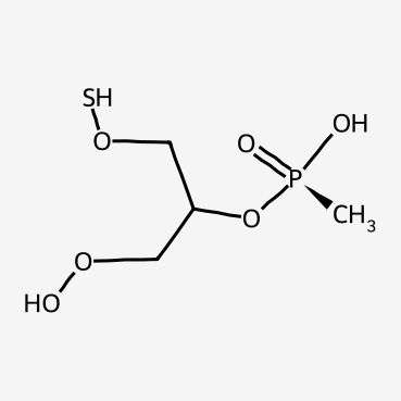 C[P@@](=O)(O)OC(COO)COS